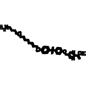 C=C(OCC)c1ncc(COc2ccc(C(C)(C)c3ccc(OCCCCCCCCOCCCCN)cc3)cc2)cn1